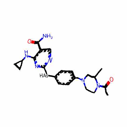 CC(=O)N1CCN(c2ccc([AsH]c3ncc(C(N)=O)c(NC4CC4)n3)cc2)CC1C